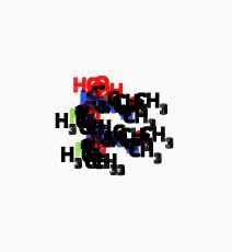 CCOCCN(C)CCC[C@H](C(C)C)N1CC2(CCN(c3ncnnc3Oc3ccc(F)cc3C(=O)N(CC)C(C)C)C2)C1.CCOCCN(C)CCC[C@H](C(C)C)N1CC2(CCN(c3ncnnc3Oc3ccc(F)cc3C(=O)N(CC)C(C)C)C2)C1.O=C(O)C(=O)O